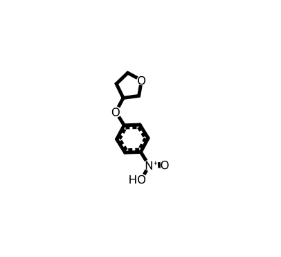 O=[N+](O)c1ccc(OC2CCOC2)cc1